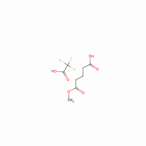 COC(=O)CCCC(=O)O.O=C(O)C(F)(F)F